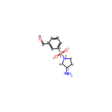 NC1CCN(S(=O)(=O)c2cccc(C=O)c2)C1